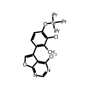 Cc1c(-c2coc3ncnc(Cl)c23)ccc(O[Si](C(C)C)(C(C)C)C(C)C)c1Cl